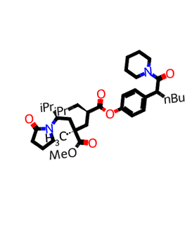 CCCCC(C(=O)N1CCCCC1)c1ccc(OC(=O)[C@H](CC(C)C)C[C@](C)(C[C@H](C(C)C)N2CCCC2=O)C(=O)OC)cc1